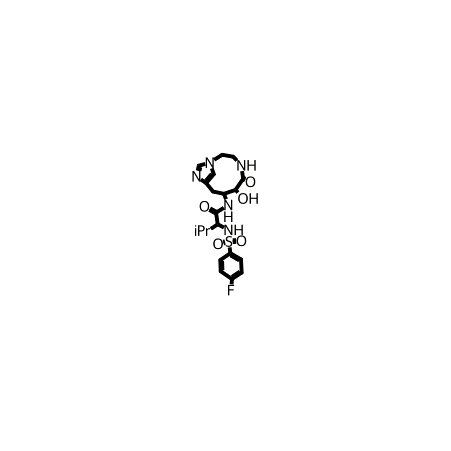 CC(C)C(NS(=O)(=O)c1ccc(F)cc1)C(=O)NC1Cc2cn(cn2)CCNC(=O)C1O